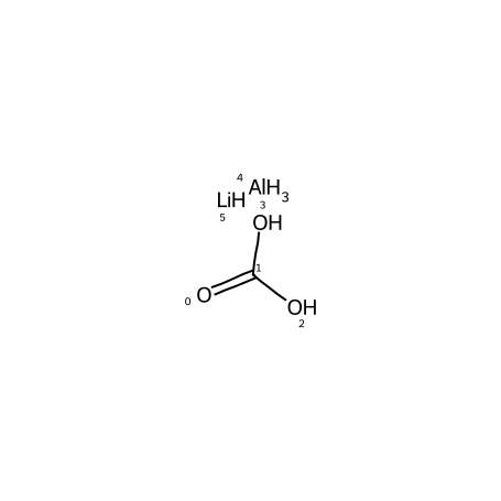 O=C(O)O.[AlH3].[LiH]